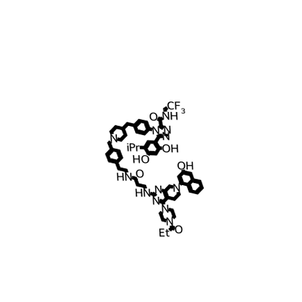 CCC(=O)N1CCN(c2nc(NCCC(=O)NCCc3ccc(CN4CCC(Cc5ccc(-n6c(C(=O)NCC(F)(F)F)nnc6-c6cc(C(C)C)c(O)cc6O)cc5)CC4)cc3)nc3c2CCN(c2cc(O)cc4ccccc24)C3)CC1